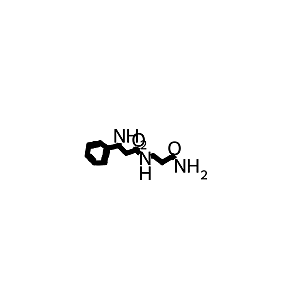 NC(=O)CCNC(=O)CC(N)c1ccccc1